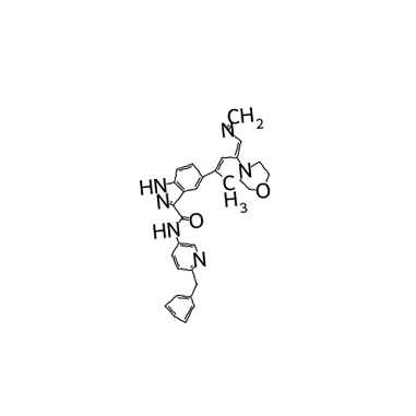 C=N/C=C(\C=C(/C)c1ccc2[nH]nc(C(=O)Nc3ccc(Cc4ccccc4)nc3)c2c1)N1CCOCC1